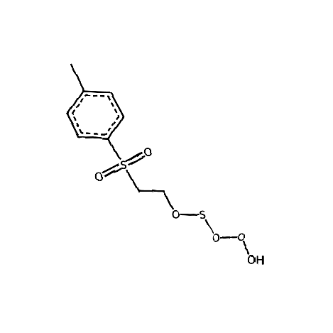 Cc1ccc(S(=O)(=O)CCOSOOO)cc1